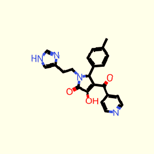 Cc1ccc(C2C(C(=O)c3ccncc3)=C(O)C(=O)N2CCc2c[nH]cn2)cc1